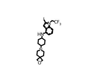 FC(F)(F)Cn1c(I)cc2c(NC3CCC(N4CCC5(CC4)COC5)CC3)cccc21